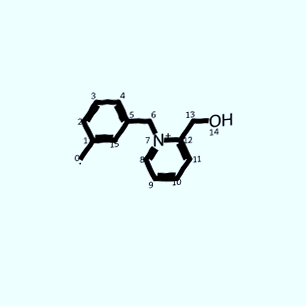 [CH2]c1cccc(C[n+]2ccccc2CO)c1